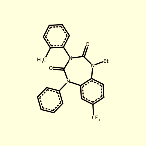 CCN1C(=O)N(c2ccccc2C)C(=O)N(c2ccccc2)c2cc(C(F)(F)F)ccc21